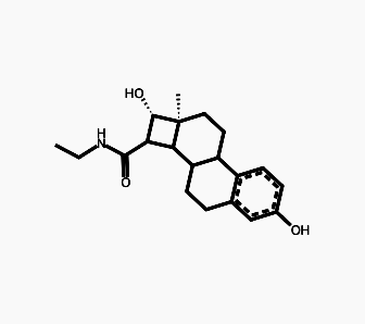 CCNC(=O)C1C2C3CCc4cc(O)ccc4C3CC[C@]2(C)[C@H]1O